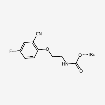 CC(C)(C)OC(=O)NCCOc1ccc(F)cc1C#N